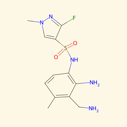 Cc1ccc(NS(=O)(=O)c2cn(C)nc2F)c(N)c1CN